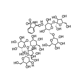 O=C1NS(=O)(=O)c2ccccc21.OC[C@H]1OC(OC[C@H]2OC(O[C@]3(CO)O[C@H](CO)[C@@H](O)[C@@H]3O)[C@H](O)[C@@H](O)[C@@H]2O)[C@H](O)[C@@H](O)[C@H]1O.OC[C@H]1O[C@H](OC[C@H]2O[C@H](O[C@H]3[C@@H](O[C@]4(CO)O[C@H](CO)[C@@H](O)[C@@H]4O)O[C@H](CO)[C@@H](O)[C@@H]3O)[C@H](O)[C@@H](O)[C@H]2O)[C@H](O)[C@@H](O)[C@H]1O